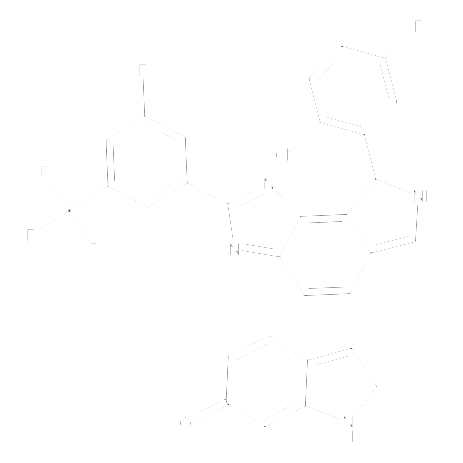 Fc1cc(C2=Nc3c4c(ccc3=N2)=CNC4c2cc(F)ccc2Cl)cc(C(F)(F)F)c1.O=C1C=CC2=CCNC2=C1